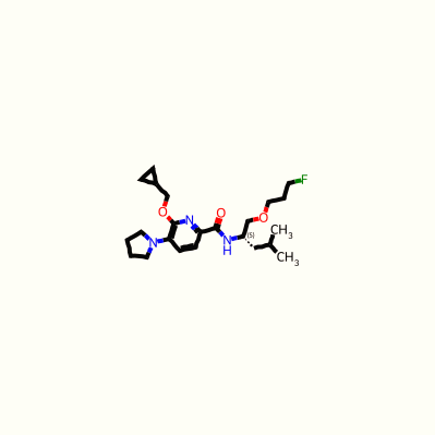 CC(C)C[C@@H](COCCCF)NC(=O)c1ccc(N2CCCC2)c(OCC2CC2)n1